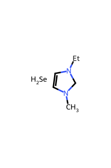 CCN1C=CN(C)C1.[SeH2]